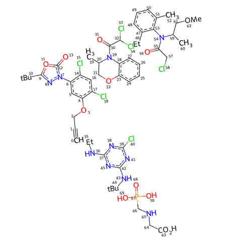 C#CCOc1cc(-n2nc(C(C)(C)C)oc2=O)c(Cl)cc1Cl.CC1COc2ccccc2N1C(=O)C(Cl)Cl.CCNc1nc(Cl)nc(NC(C)(C)C)n1.CCc1cccc(C)c1N(C(=O)CCl)C(C)COC.O=C(O)CNCP(=O)(O)O